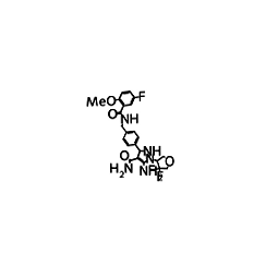 COc1ccc(F)cc1C(=O)NCc1ccc(C2NN(C3COCC3(F)F)C(N)=C2C(N)=O)cc1